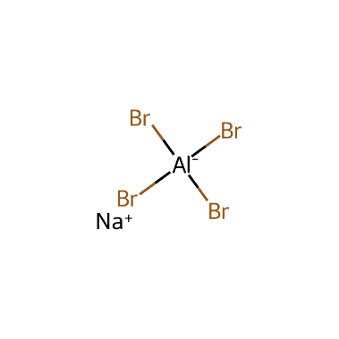 [Br][Al-]([Br])([Br])[Br].[Na+]